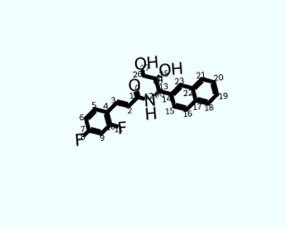 O=C(C=Cc1ccc(F)cc1F)N[C@H](c1ccc2ccccc2c1)[C@H](O)CO